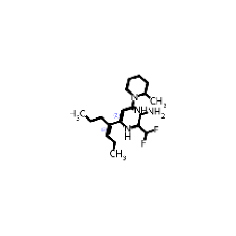 CC/C=C(CCC)\C(=C\C(=N)N1CCCCC1C)NC(CN)C(F)F